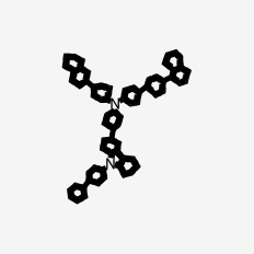 c1ccc(-c2ccc(-n3c4ccccc4c4cc(-c5ccc(N(c6ccc(-c7ccc(-c8cccc9ccccc89)cc7)cc6)c6ccc(-c7ccc8ccccc8c7)cc6)cc5)ccc43)cc2)cc1